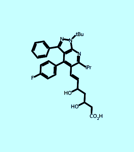 CC(C)c1nc2c(c(-c3ccccc3)nn2C(C)(C)C)c(-c2ccc(F)cc2)c1/C=C/C(O)CC(O)CC(=O)O